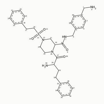 NCc1ccc(CNC(=O)C2CN(S(=O)(=O)CCc3ccccc3)CCN2C(=O)C(N)CCc2ccccc2)cc1